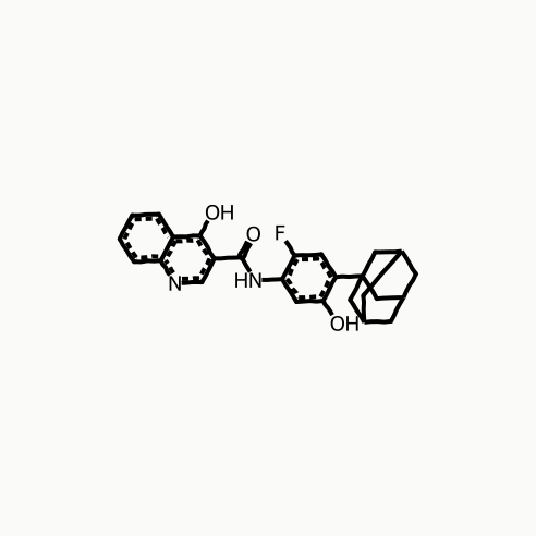 O=C(Nc1cc(O)c(C23CC4CC(CC(C4)C2)C3)cc1F)c1cnc2ccccc2c1O